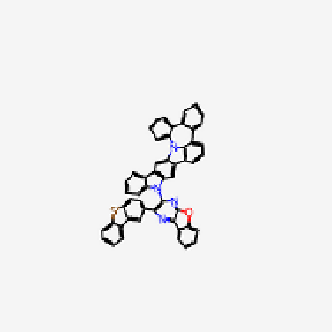 c1ccc2c(c1)-c1ccccc1-n1c3cc4c5ccccc5n(-c5nc6oc7ccccc7c6nc5-c5ccc6sc7ccccc7c6c5)c4cc3c3cccc-2c31